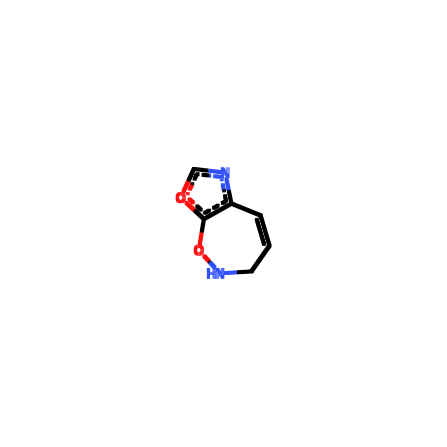 C1=Cc2ncoc2ONC1